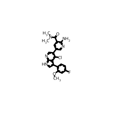 COc1cc(F)ccc1-c1c[nH]c2ncc(-c3cnc(N)c(C(=O)N(C)C)c3)c(Cl)c12